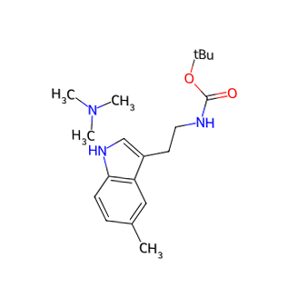 CN(C)C.Cc1ccc2[nH]cc(CCNC(=O)OC(C)(C)C)c2c1